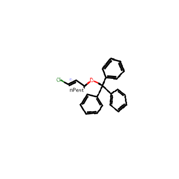 CCCCCC(/C=C/Cl)OC(c1ccccc1)(c1ccccc1)c1ccccc1